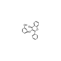 O=c1c(O)c(-c2ccccc2)oc2ccccc12.Oc1ccccc1